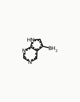 Bc1c[nH]c2ncncc12